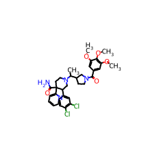 COc1cc(C(=O)N2CCC(C(C)N3CCC(C(N)=O)(c4ccccn4)C(c4ccc(Cl)c(Cl)c4)C3)C2)cc(OC)c1OC